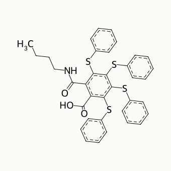 CCCCNC(=O)c1c(Sc2ccccc2)c(Sc2ccccc2)c(Sc2ccccc2)c(Sc2ccccc2)c1C(=O)O